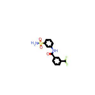 NS(=O)(=O)c1cccc(NC(=O)c2cccc(C(F)F)c2)c1